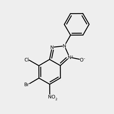 O=[N+]([O-])c1cc2c(nn(-c3ccccc3)[n+]2[O-])c(Cl)c1Br